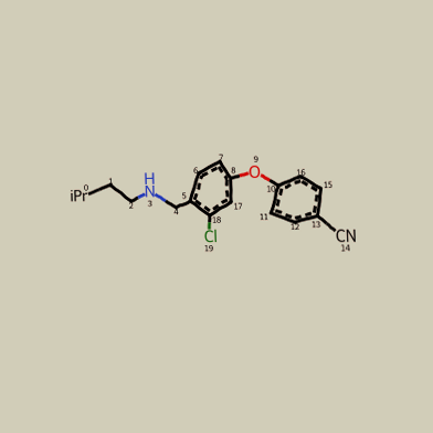 CC(C)CCNCc1ccc(Oc2ccc(C#N)cc2)cc1Cl